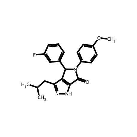 COc1ccc(N2C(=O)c3[nH]nc(CC(C)C)c3C2c2cccc(F)c2)cc1